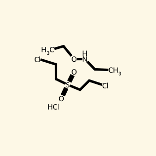 CCNOCC.Cl.O=S(=O)(CCCl)CCCl